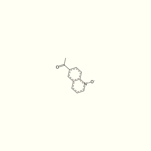 CC(=O)c1ccc2c(ccc[n+]2[O-])c1